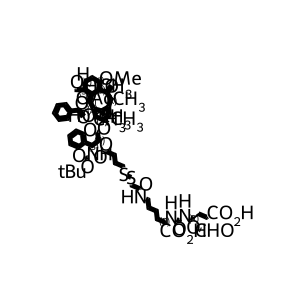 CO[C@H]1C[C@H]2OC[C@@]2(OC(C)=O)[C@H]2[C@H](OC(=O)c3ccccc3)[C@]3(O)C[C@H](OC(=O)[C@H](OC(=O)CCCSSCC(=O)NCCCC[C@H](NC(=O)N[C@@H](CCC(=O)O)OC=O)C(=O)O)[C@@H](NC(=O)OC(C)(C)C)c4ccccc4)C(C)=C([C@@H](C)C(=O)[C@]12C)C3(C)C